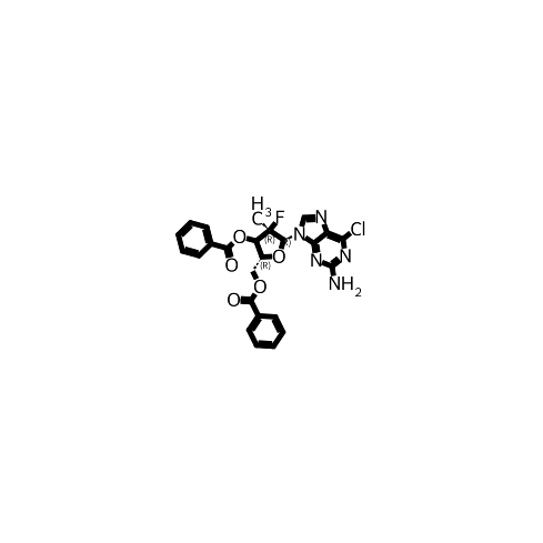 C[C@@]1(F)C(OC(=O)c2ccccc2)[C@@H](COC(=O)c2ccccc2)O[C@H]1n1cnc2c(Cl)nc(N)nc21